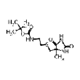 CC(C)(C)OC(=O)NCCSC[C@@]1(C)NC(=O)NC1=O